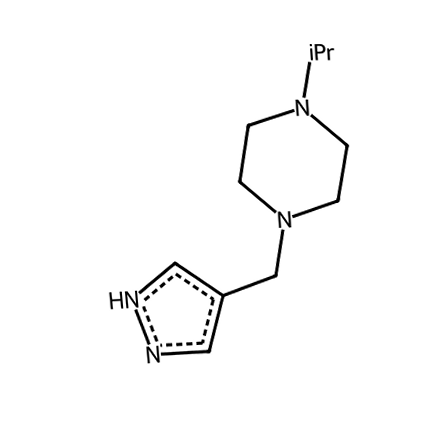 CC(C)N1CCN(Cc2cn[nH]c2)CC1